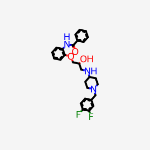 O=C(Nc1ccccc1OCC(O)CNC1CCN(Cc2ccc(F)c(F)c2)CC1)c1ccccc1